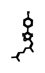 CC(C)=CCCC(C)=Cc1nc(-c2ccc(F)cc2)no1